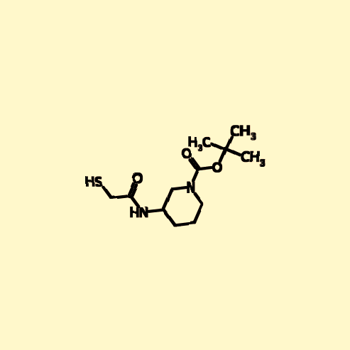 CC(C)(C)OC(=O)N1CCCC(NC(=O)CS)C1